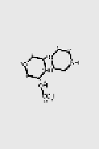 C1COCCN1.C1COCCN1.O=C(O)O